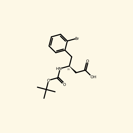 CC(C)(C)OC(=O)N[C@H](CC(=O)O)Cc1ccccc1Br